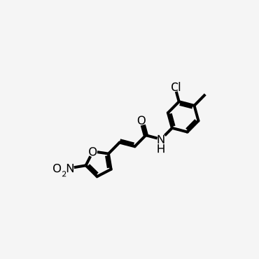 Cc1ccc(NC(=O)/C=C/c2ccc([N+](=O)[O-])o2)cc1Cl